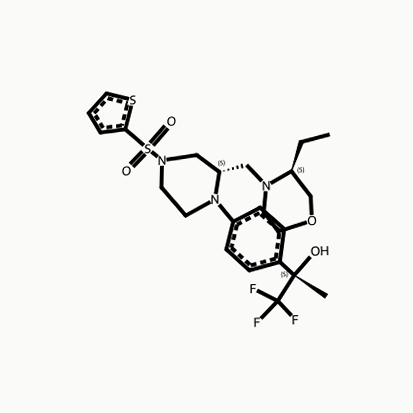 CC[C@H]1COCCN1C[C@H]1CN(S(=O)(=O)c2cccs2)CCN1c1ccc([C@](C)(O)C(F)(F)F)cc1